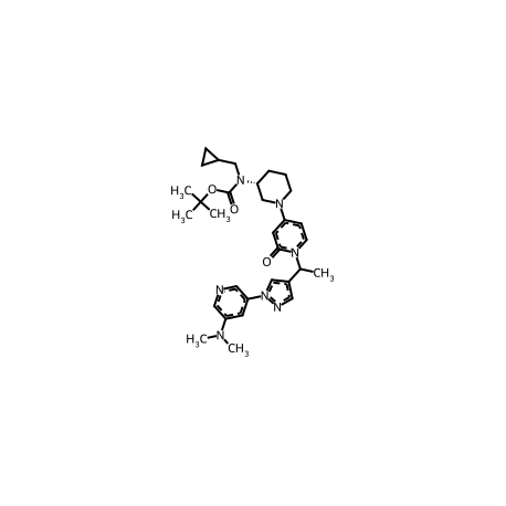 CC(c1cnn(-c2cncc(N(C)C)c2)c1)n1ccc(N2CCC[C@@H](N(CC3CC3)C(=O)OC(C)(C)C)C2)cc1=O